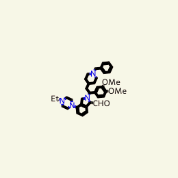 CCN1CCN(c2cccc3c2CN(C(CC2CCN(Cc4ccccc4)CC2)c2ccc(OC)c(OC)c2)C3C=O)CC1